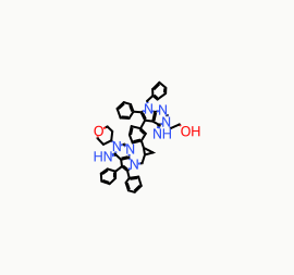 N=c1c2c(-c3cccc(C4CC4Cn4c(-c5ccccc5)c(-c5ccccc5)c5c(=N)n(C6CCOCC6)cnc54)c3)c(-c3ccccc3)n(Cc3ccccc3)c2ncn1CCO